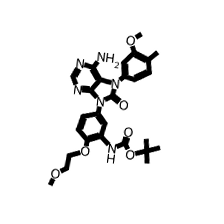 COCCOc1ccc(-n2c(=O)n(-c3ccc(C)c(OC)c3)c3c(N)ncnc32)cc1NC(=O)OC(C)(C)C